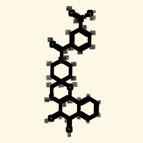 O=C1C(=O)c2ccccc2C2=C1SCC1(CCN(C(=O)c3cccc([N+](=O)[O-])c3)CC1)O2